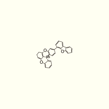 S=P12C3=C(CCC=C3Oc3ccccc31)Oc1cc(-c3cccc4c3oc3ccccc34)ccc12